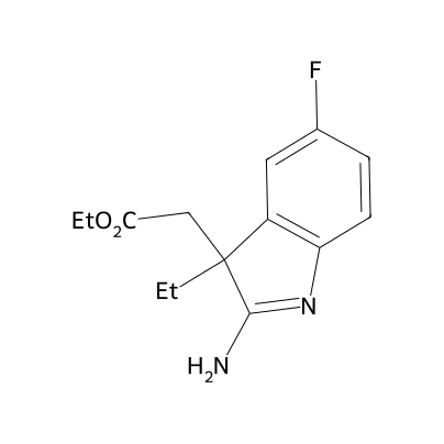 CCOC(=O)CC1(CC)C(N)=Nc2ccc(F)cc21